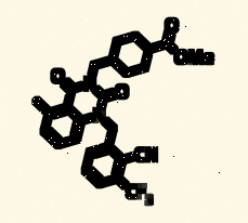 COC(=O)C1CCC(Cn2c(=O)c3c(C)cccc3n(Cc3cccc(C(F)(F)F)c3C#N)c2=O)CC1